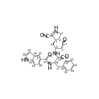 O=C=CC(C[C@@H]1CCNC1=C=O)NC(=C=O)C(Cc1ccccc1)NC(=O)c1ccc2[nH]ccc2c1